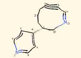 C1#CC[C@@H](c2ccncc2)CN=C1